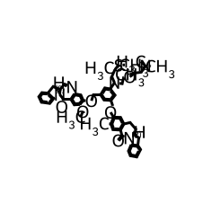 COc1cc2c(cc1OCc1cc(COc3cc4c(cc3C)C(=O)N3c5ccccc5C[C@H]3CC4)cc(N(CCOCCN(C)C)CC(C)(C)SC)c1)N=C[C@@H]1Cc3ccccc3N1C2=O